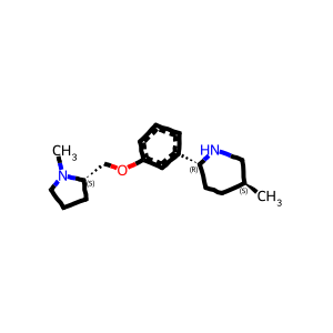 C[C@H]1CC[C@H](c2cccc(OC[C@@H]3CCCN3C)c2)NC1